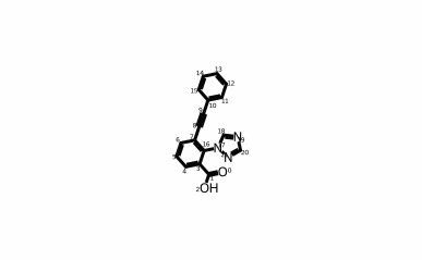 O=C(O)c1cccc(C#Cc2ccccc2)c1-n1cncn1